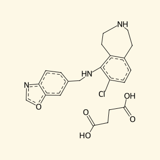 Clc1ccc2c(c1NCc1ccc3ncoc3c1)CCNCC2.O=C(O)CCC(=O)O